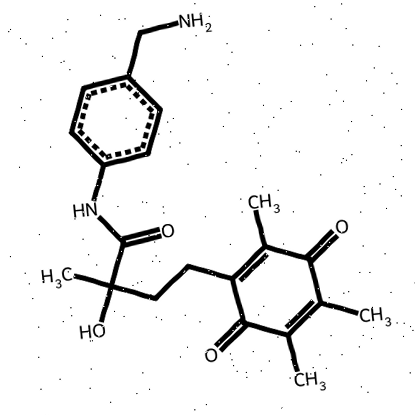 CC1=C(C)C(=O)C(CCC(C)(O)C(=O)Nc2ccc(CN)cc2)=C(C)C1=O